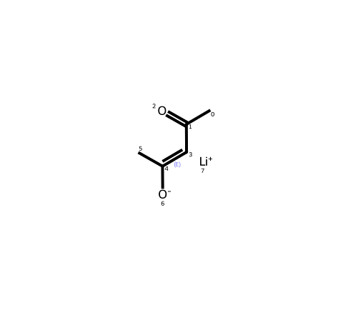 CC(=O)/C=C(\C)[O-].[Li+]